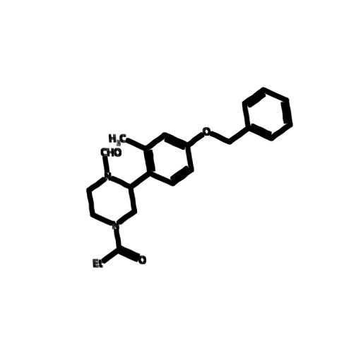 CCC(=O)N1CCN(C=O)C(c2ccc(OCc3ccccc3)cc2C)C1